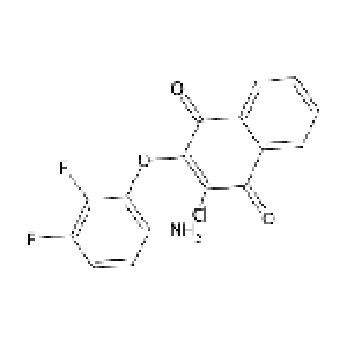 Nc1ccc(F)c(F)c1OC1=C(Cl)C(=O)c2ccccc2C1=O